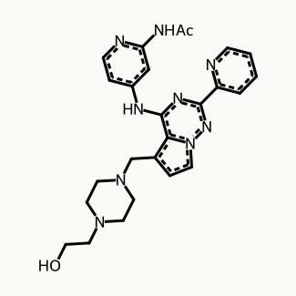 CC(=O)Nc1cc(Nc2nc(-c3ccccn3)nn3ccc(CN4CCN(CCO)CC4)c23)ccn1